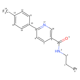 CC(C)CCNC(=O)c1ccc(-c2ccc(C(F)(F)F)cc2)nc1